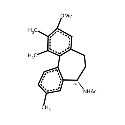 COc1cc2c(c(C)c1C)-c1ccc(C)cc1[C@@H](NC(C)=O)CC2